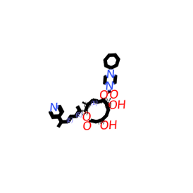 C/C(=C\C=C\C(C)c1ccncc1)[C@H]1OC(=O)C[C@@H](O)CC[C@](C)(O)[C@H](OC(=O)N2CCN(C3CCCCCC3)CC2)/C=C/[C@@H]1C